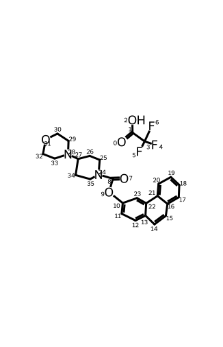 O=C(O)C(F)(F)F.O=C(Oc1ccc2ccc3ccccc3c2c1)N1CCC(N2CCOCC2)CC1